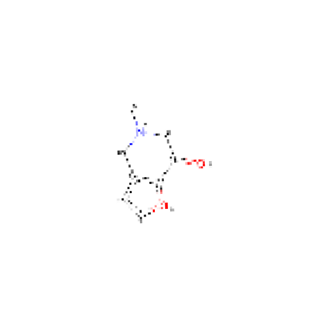 CN1CC(=O)c2occc2C1